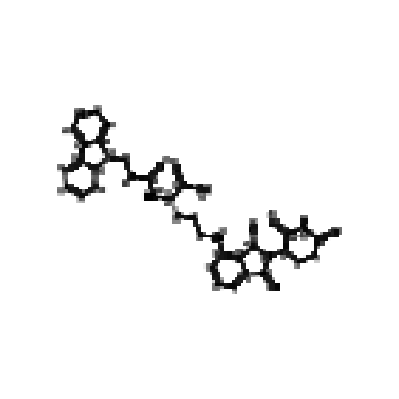 O=C1CCC(N2C(=O)c3cccc(OCCC[C@H](NC(=O)OCC4c5ccccc5-c5ccccc54)C(=O)O)c3C2=O)C(=O)N1